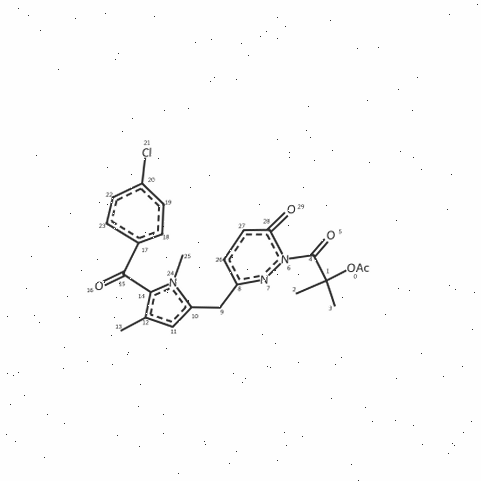 CC(=O)OC(C)(C)C(=O)n1nc(Cc2cc(C)c(C(=O)c3ccc(Cl)cc3)n2C)ccc1=O